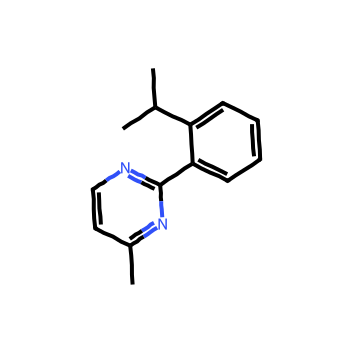 Cc1ccnc(-c2ccccc2C(C)C)n1